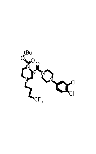 CC(C)(C)OC(=O)N1CCN(CCCC(F)(F)F)C[C@@H]1C(=O)N1CCN(c2ccc(Cl)c(Cl)c2)CC1